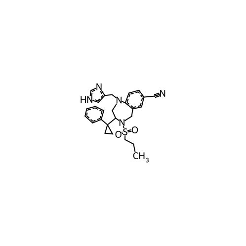 CCCS(=O)(=O)N1Cc2cc(C#N)ccc2N(Cc2c[nH]cn2)CC1C1(c2ccccc2)CC1